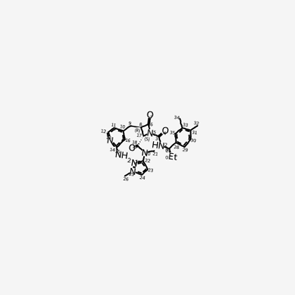 CC[C@@H](NC(=O)N1C(=O)[C@H](Cc2ccnc(N)c2)[C@H]1C(=O)N(C)c1ccn(C)n1)c1ccc(C)c(C)c1